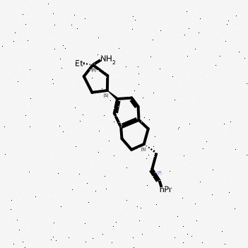 CCC/C=C/C[C@@H]1CCc2cc([C@H]3CC[C@](N)(CC)C3)ccc2C1